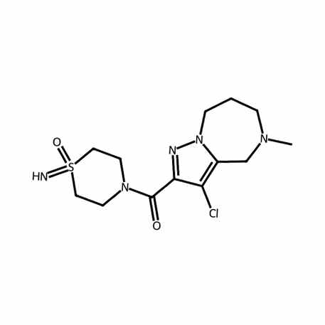 CN1CCCn2nc(C(=O)N3CCS(=N)(=O)CC3)c(Cl)c2C1